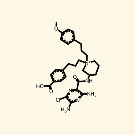 COc1ccc(CCC[N+]2(CCCc3ccc(C(=O)O)cc3)CCCC(NC(=O)c3nc(Cl)c(N)nc3N)C2)cc1